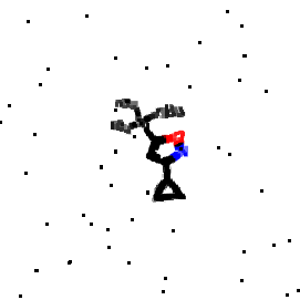 CCC[CH2][Sn]([CH2]CCC)([CH2]CCC)[c]1cc(C2CC2)no1